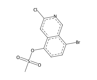 CS(=O)(=O)Oc1ccc(Br)c2cnc(Cl)cc12